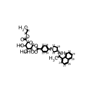 C=CCOC(=O)[C@H]1O[C@@H](OC(=O)c2ccc(N3CC[C@H](N[C@H](C)c4cccc5ccccc45)C3)cc2)[C@H](O)[C@@H](O)[C@@H]1O